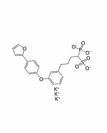 O=P([O-])([O-])C(CCCc1cccc(Oc2ccc(-c3ccco3)cc2)c1)S(=O)(=O)[O-].[K+].[K+].[K+]